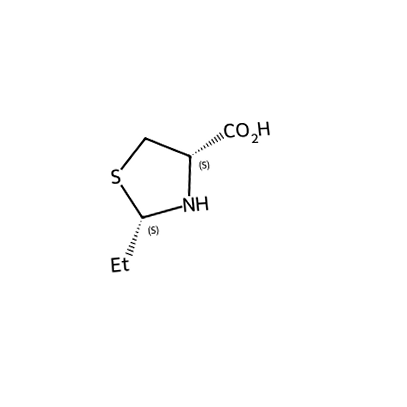 CC[C@H]1N[C@@H](C(=O)O)CS1